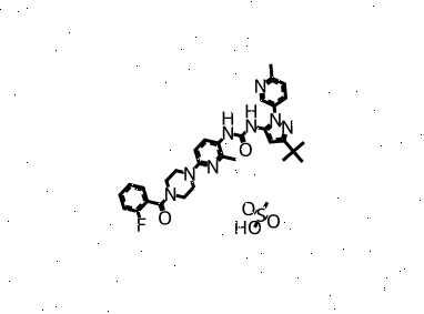 CS(=O)(=O)O.Cc1ccc(-n2nc(C(C)(C)C)cc2NC(=O)Nc2ccc(N3CCN(C(=O)c4ccccc4F)CC3)nc2C)cn1